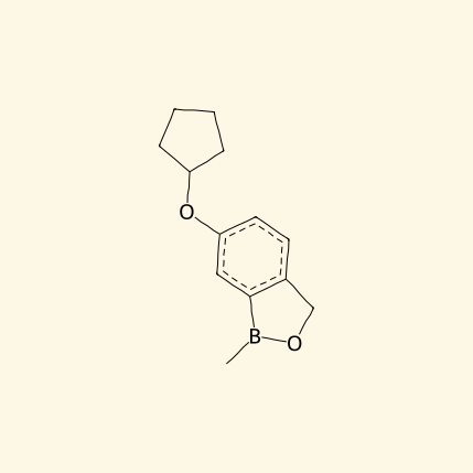 CB1OCc2ccc(OC3CCCC3)cc21